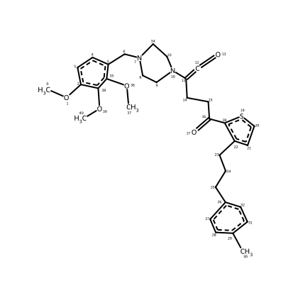 COc1ccc(CN2CCN(C(=C=O)CCC(=O)c3sccc3CCCc3ccc(C)cc3)CC2)c(OC)c1OC